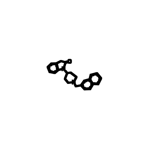 O=C1Cc2ccccc2N1C1CCN(Cc2ccc3ccccc3c2)CC1